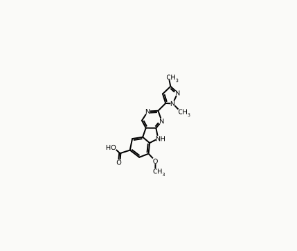 COc1cc(C(=O)O)cc2c1[nH]c1nc(-c3cc(C)nn3C)ncc12